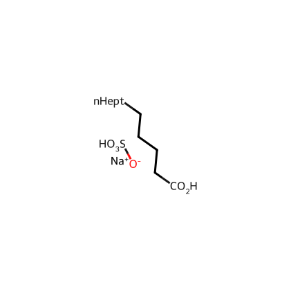 CCCCCCCCCCCC(=O)O.O=S(=O)([O-])O.[Na+]